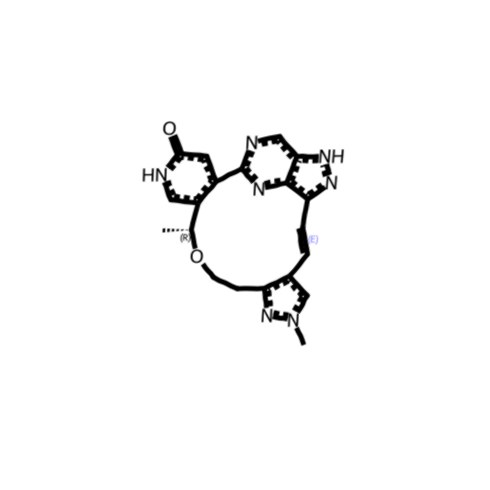 C[C@H]1OCCc2nn(C)cc2/C=C/c2n[nH]c3cnc(nc23)-c2cc(=O)[nH]cc21